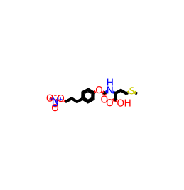 CSCCC(NC(=O)Oc1ccc(CCCO[N+](=O)[O-])cc1)C(=O)O